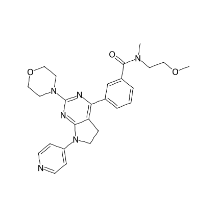 COCCN(C)C(=O)c1cccc(-c2nc(N3CCOCC3)nc3c2CCN3c2ccncc2)c1